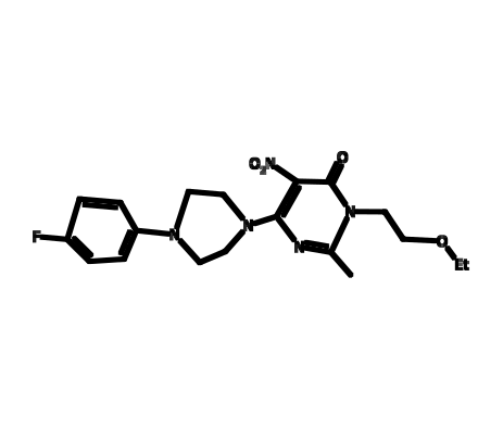 CCOCCn1c(C)nc(N2CCN(c3ccc(F)cc3)CC2)c([N+](=O)[O-])c1=O